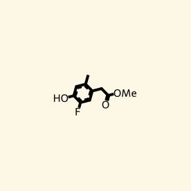 COC(=O)Cc1cc(F)c(O)cc1C